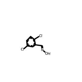 ON=Cc1cc(Cl)ccc1Cl